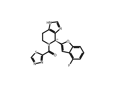 O=C(c1nncs1)N1CCc2[nH]cnc2[C@H]1c1cc2c(F)cccc2o1